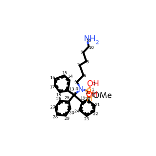 CO[PH](O)(O)N(CCCCCCN)C(c1ccccc1)(c1ccccc1)c1ccccc1